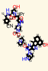 CC1c2c(ncc3c(N4CCC5CNC(C5)C4)nc(OC[C@]45CCCN4[C@H](COC(=O)N4CCN(c6cc([C@@H](C(=O)N7C[C@H](O)C[C@H]7C(=O)N[C@@H](C)c7ccc(C#N)cc7)C(C)C)on6)CC4)CC5)nc23)-c2cc(O)cc3cccc1c23